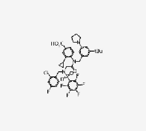 CC(C)(C)c1cc(CN(C(=O)CN(Cc2ccc(F)cc2Cl)S(=O)(=O)c2c(F)c(F)c(F)c(F)c2F)c2ccc(C(=O)O)cc2C2CC2)cc(N2CCCC2)c1